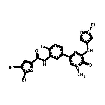 CCc1sc(C(=O)Nc2cc(-c3cn(C)c(=O)c(Nc4cnn(CC)c4)n3)ccc2F)cc1C(C)C